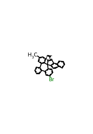 Cc1ccc2c(c1)-c1ccccc1-c1cc(Br)ccc1C21c2ccccc2-c2c1ccc1ccccc21